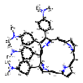 CCN(CC)c1ccc(C2=CC3=CC4=NC(=CC5=NC(=CC6=NC(=C(c7ccc(N(CC)CC)cc7)C2=N3)C(c2ccc(N(CC)CC)cc2)=C6c2ccc(N(CC)CC)cc2)C=C5)C=C4)cc1